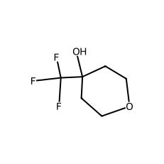 OC1(C(F)(F)F)CCOCC1